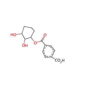 O=C(O)c1ccc(C(=O)OC2CCCC(O)C2O)cc1